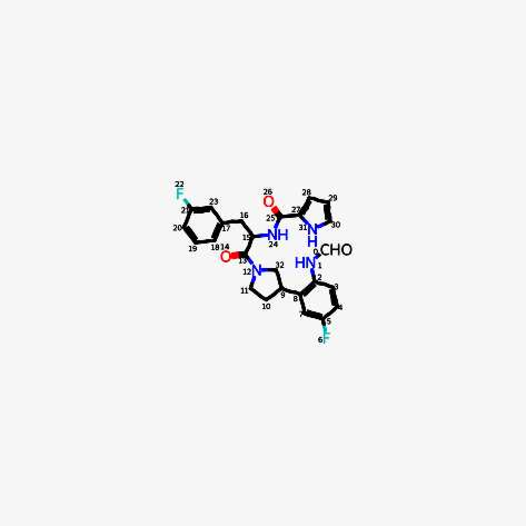 O=CNc1ccc(F)cc1C1CCN(C(=O)C(Cc2cccc(F)c2)NC(=O)c2ccc[nH]2)C1